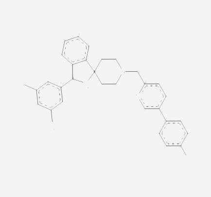 Clc1ccc(-c2ccc(CN3CCC4(CC3)OC(c3cc(Cl)cc(Cl)c3)c3ccccc34)nc2)cc1